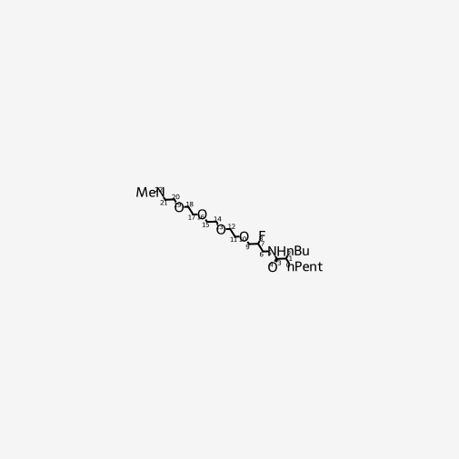 CCCCCC(CCCC)C(=O)NCC(F)COCCOCCOCCOCCNC